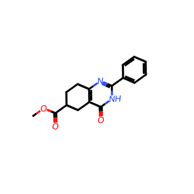 COC(=O)C1CCc2nc(-c3ccccc3)[nH]c(=O)c2C1